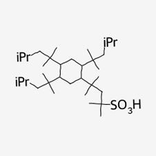 CC(C)CC(C)(C)C1CC(C(C)(C)CC(C)C)C(C(C)(C)CC(C)(C)S(=O)(=O)O)CC1C(C)(C)CC(C)C